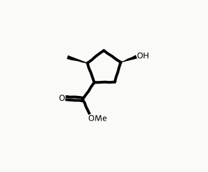 COC(=O)C1C[C@H](O)C[C@@H]1C